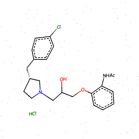 CC(=O)Nc1ccccc1OCC(O)CN1CC[C@H](Cc2ccc(Cl)cc2)C1.Cl